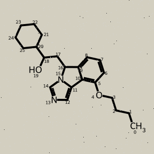 CCCCOc1cccc2c1-c1cncn1C2CC(O)C1CCCCC1